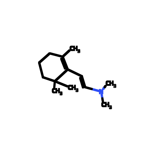 CC1=C(C=CN(C)C)C(C)(C)CCC1